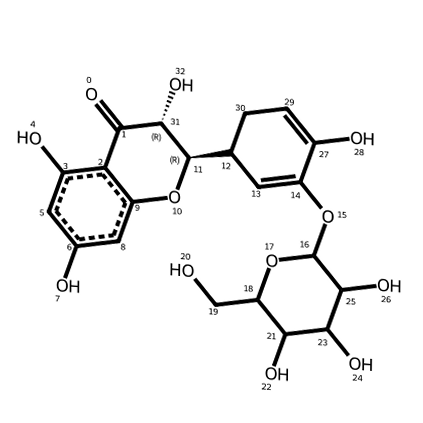 O=C1c2c(O)cc(O)cc2O[C@H](C2C=C(OC3OC(CO)C(O)C(O)C3O)C(O)=CC2)[C@H]1O